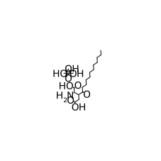 CCCCCCCCCCCC(=O)C(CC(=O)O)[C@H](N)C(=O)O.O=P(O)(O)O